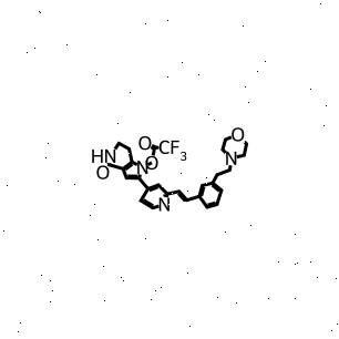 O=C1NCCc2c1cc(-c1ccnc(C=Cc3cccc(CCN4CCOCC4)c3)c1)n2OC(=O)C(F)(F)F